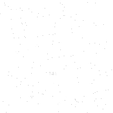 N#Cc1ccc(S(=O)(=O)/C=C/CNC(=O)c2cc3c([nH]c2=O)CCCC3)cc1